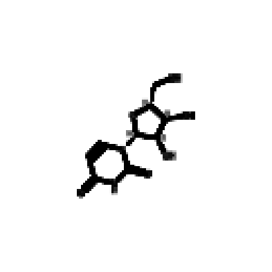 O=c1c#cn([C@@H]2O[C@H](CO)[C@@H](O)[C@H]2O)c(=O)[nH]1